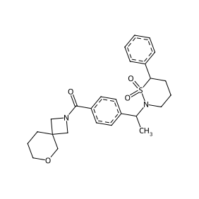 CC(c1ccc(C(=O)N2CC3(CCCOC3)C2)cc1)N1CCCC(c2ccccc2)S1(=O)=O